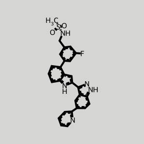 CS(=O)(=O)NCc1cc(F)cc(-c2cccc3[nH]c(-c4n[nH]c5ccc(-c6ccccn6)cc45)cc23)c1